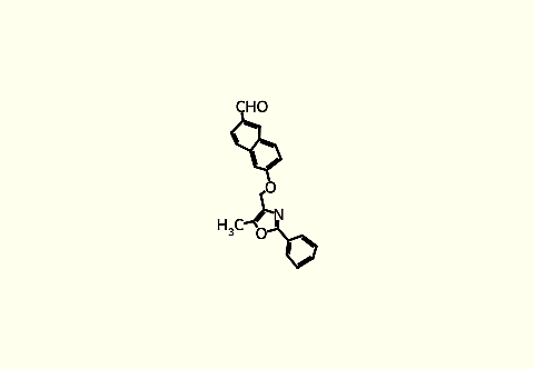 Cc1oc(-c2ccccc2)nc1COc1ccc2cc(C=O)ccc2c1